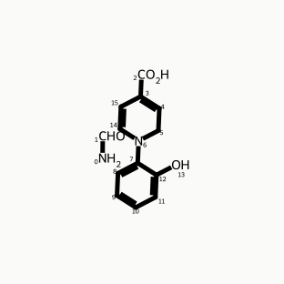 NC=O.O=C(O)C1=CCN(c2ccccc2O)C=C1